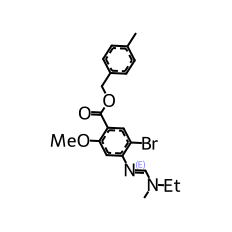 CCN(C)/C=N/c1cc(OC)c(C(=O)OCc2ccc(C)cc2)cc1Br